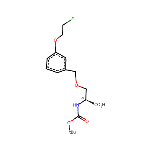 CC(C)(C)OC(=O)N[C@@H](COCc1cccc(OCCF)c1)C(=O)O